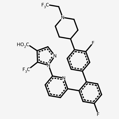 O=C(O)c1cnn(-c2cccc(-c3cc(F)ccc3-c3ccc(C4CCN(CC(F)(F)F)CC4)c(F)c3)n2)c1C(F)(F)F